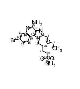 CCOCc1nc2c(N)nc3cc(Br)ccc3c2n1CCCCS(N)(=O)=O